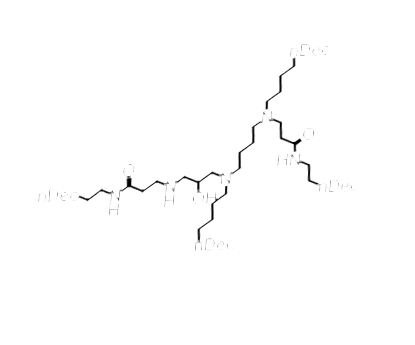 CCCCCCCCCCCCCCN(CCCCN(CCCCCCCCCCCCCC)CC(O)CNCCC(=O)NCCCCCCCCCCCC)CCC(=O)NCCCCCCCCCCCC